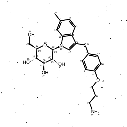 Cc1ccc2c(Sc3ccc(OCCCN)cc3)cn([C@@H]3O[C@H](CO)[C@@H](O)[C@H](O)[C@H]3O)c2c1